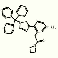 O=C(Cc1cc(C(F)(F)F)ccc1N1C=CN(C(c2ccccc2)(c2ccccc2)c2ccccc2)C1)N1CCC1